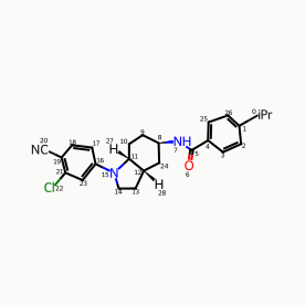 CC(C)c1ccc(C(=O)N[C@@H]2CC[C@@H]3[C@@H](CCN3c3ccc(C#N)c(Cl)c3)C2)cc1